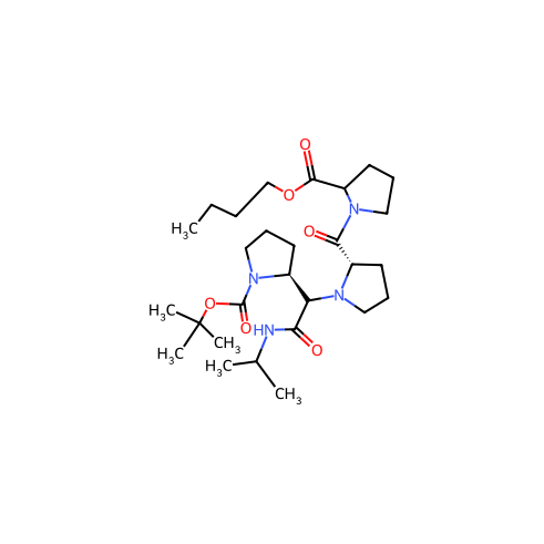 CCCCOC(=O)C1CCCN1C(=O)[C@@H]1CCCN1C(C(=O)NC(C)C)[C@@H]1CCCN1C(=O)OC(C)(C)C